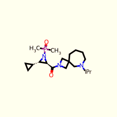 CC(C)N1CCCCC2(CN(C(=O)[C@H]3[C@H](C4CC4)N3P(C)(C)=O)C2)C1